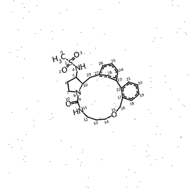 CS(=O)(=O)NC1CCN2C(=O)NCCCOCc3ccccc3-c3cccc(c3)CC12